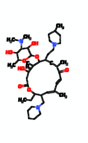 CCC1OC(=O)CC(O)C(C)C(OC2OC(C)C(O)C(N(C)C)C2O)C(CCN2CCC(C)CC2)CC(C)C(=O)/C=C/C(C)=C/C1CN1CCCCC1